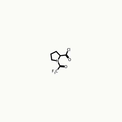 O=C(Cl)C1CCCN1C(=O)C(F)(F)F